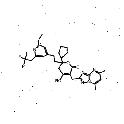 CCc1cc(CCC2(C3CCCC3)CC(O)=C(Cc3nc4nc(C)cc(C)n4n3)C(=O)O2)cc(CC(F)(F)F)n1